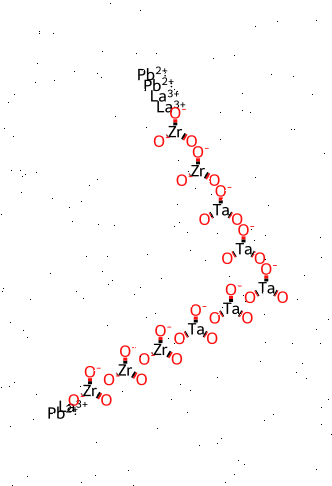 [La+3].[La+3].[La+3].[O]=[Ta](=[O])[O-].[O]=[Ta](=[O])[O-].[O]=[Ta](=[O])[O-].[O]=[Ta](=[O])[O-].[O]=[Ta](=[O])[O-].[O]=[Zr]([O-])[O-].[O]=[Zr]([O-])[O-].[O]=[Zr]([O-])[O-].[O]=[Zr]([O-])[O-].[O]=[Zr]([O-])[O-].[Pb+2].[Pb+2].[Pb+2]